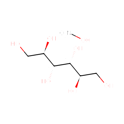 O=[N+]([O-])O.OC[C@@H](O)[C@@H](O)[C@H](O)[C@H](O)CO